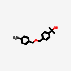 CC(C)(O)c1ccc(COCc2ccc([N+](=O)[O-])cc2)cc1